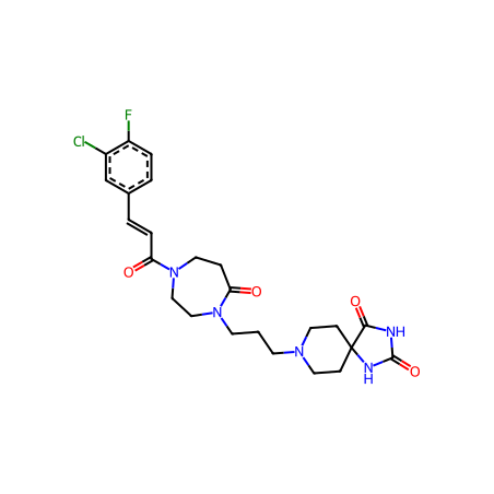 O=C1NC(=O)C2(CCN(CCCN3CCN(C(=O)/C=C/c4ccc(F)c(Cl)c4)CCC3=O)CC2)N1